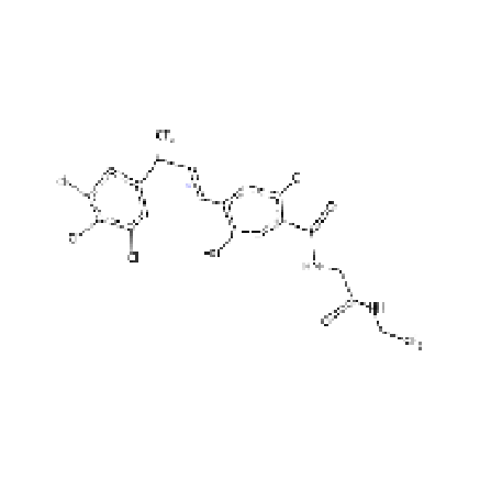 O=C(CNC(=O)c1cc(O)c(/C=C/C(c2cc(Cl)c(Cl)c(Cl)c2)C(F)(F)F)cc1Cl)NCC(F)(F)F